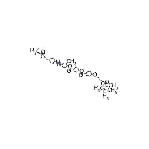 C=CC(=O)OCCc1ccc(/N=N/c2ccc(OC(=O)c3ccc(OC(=O)c4ccc(OCCCCOC(=O)C(C(C)C)C(C)C)cc4)cc3)c(C)c2)cc1